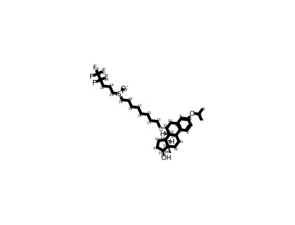 CC(C)Oc1ccc2c(c1)C[C@@H](CCCCCCCCC[S+]([O-])CCCC(F)(F)C(F)(F)F)[C@@H]1C2CC[C@]2(C)[C@@H](O)CC[C@@H]12